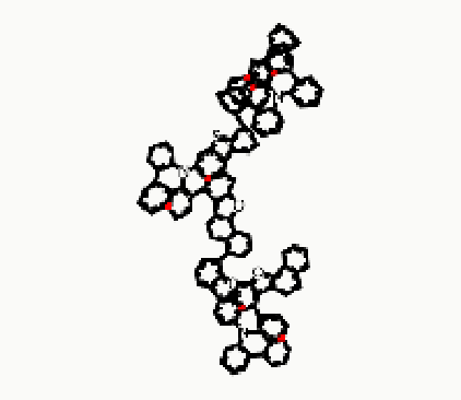 c1ccc(-c2ccccc2N(c2ccc3c(c2)oc2c(-c4cccc5c4ccc4c5oc5cccc(-c6ccccc6N(c6ccc7c(c6)sc6c(-c8cccc9c8ccc8c9oc9cccc(-c%10ccccc%10N(c%10ccccc%10-c%10ccccc%10)c%10cccc%11c%10oc%10ccccc%10%11)c98)cccc67)c6ccccc6-c6ccccc6)c54)cccc23)c2ccccc2-c2cccc3oc4c5ccccc5ccc4c23)cc1